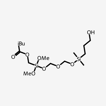 CCC(C)C(=O)OC[Si](OC)(OC)OCOCO[Si](C)(C)CCCO